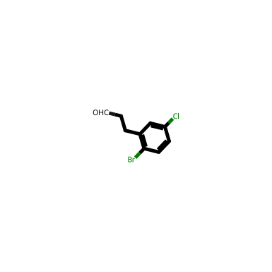 O=CCCc1cc(Cl)ccc1Br